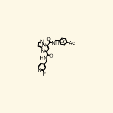 CC(=O)C12CCC(CNC(=O)c3cc(C(=O)NCc4ccnc(F)c4)nc4ccnn34)(CC1)CC2